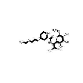 CCOCCC[C@@H]1CCN[C@H](C(=O)N[C@H](C(C)C)[C@H]2O[C@H](SC)[C@H](O)[C@@H](O)[C@H]2O)C1